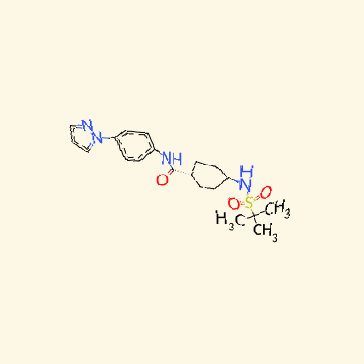 CC(C)(C)S(=O)(=O)N[C@H]1CC[C@H](C(=O)Nc2ccc(-n3cccn3)cc2)CC1